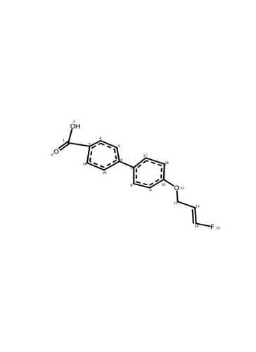 O=C(O)c1ccc(-c2ccc(OCC=CF)cc2)cc1